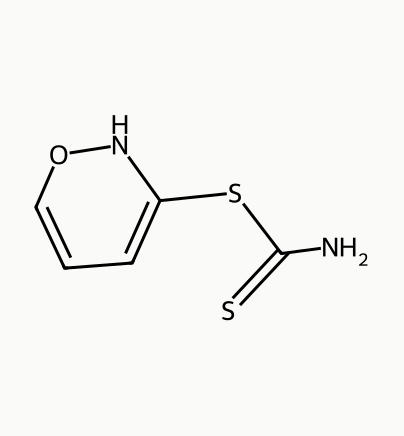 NC(=S)SC1=CC=CON1